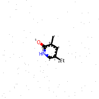 CCc1c[nH]c(=O)c(C)c1